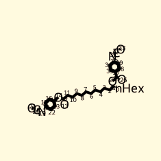 CCCCCC[C@H](CCCCCCCCCCC(=O)Oc1ccc(N=C=O)cc1)OC(=O)c1ccc(N=C=O)cc1